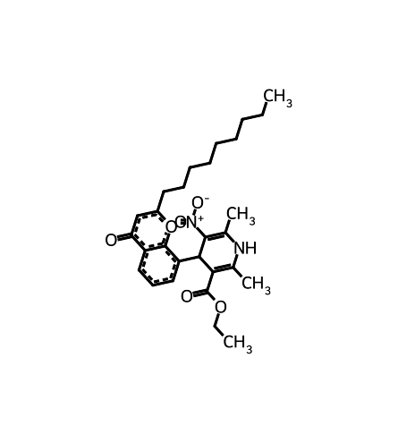 CCCCCCCCCc1cc(=O)c2cccc(C3C(C(=O)OCC)=C(C)NC(C)=C3[N+](=O)[O-])c2o1